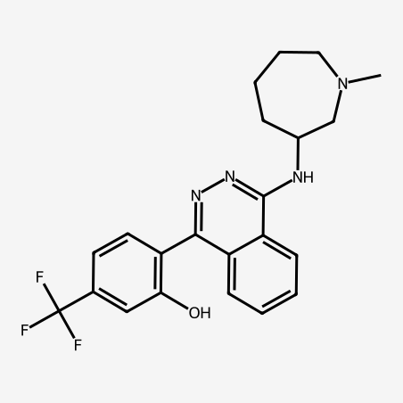 CN1CCCCC(Nc2nnc(-c3ccc(C(F)(F)F)cc3O)c3ccccc23)C1